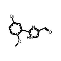 COc1ccc(Br)cc1-c1nc(C=O)c[nH]1